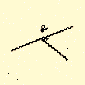 C=CC(=O)[O-].CCCCCCCCCCCCCCCCC[CH2][Sn+]([CH2]CCCCCCCCCCCCCCCCC)[CH2]CCCCCCCCCCCCCCCCC